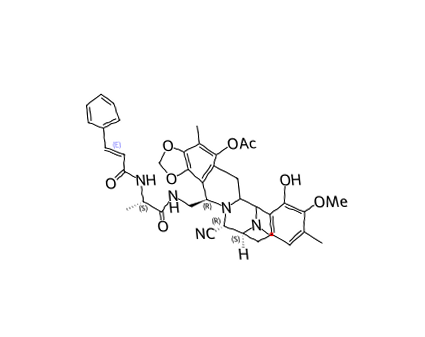 COc1c(C)cc2c(c1O)C1C3Cc4c(OC(C)=O)c(C)c5c(c4[C@H](CNC(=O)[C@H](C)NC(=O)/C=C/c4ccccc4)N3[C@@H](C#N)[C@H](C2)N1C)OCO5